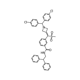 CS(=O)(=O)C(=C1CN(C(c2ccc(Cl)cc2)c2ccc(Cl)cc2)C1)c1cccc(C(=O)NCC(c2ccccc2)c2ccccc2)c1